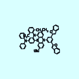 Cc1cc2c3c(c1)N(c1c(C)cccc1C)c1cc(N(c4ccccc4)c4ccccc4)ccc1B3c1cc(C(C)(C)C)ccc1N2c1cc(-c2cc3ccccc3o2)cc(-c2cc3ccccc3o2)c1